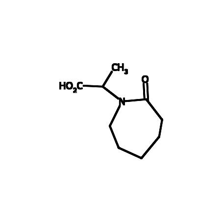 CC(C(=O)O)N1CCCCCC1=O